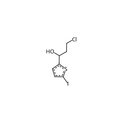 OC(CCCl)c1ccc(I)s1